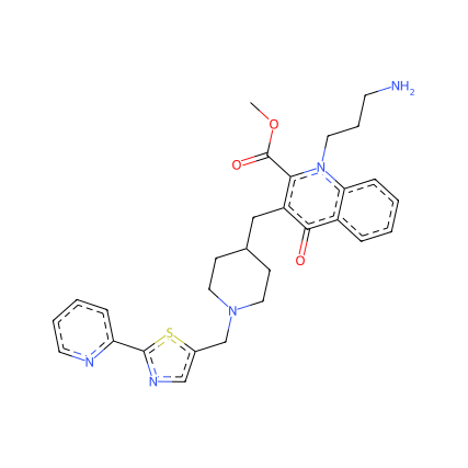 COC(=O)c1c(CC2CCN(Cc3cnc(-c4ccccn4)s3)CC2)c(=O)c2ccccc2n1CCCN